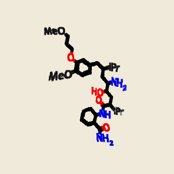 COCCCOc1cc(CC(CC(N)C(O)CC(C(=O)NC2CCCCC2C(N)=O)C(C)C)C(C)C)ccc1OC